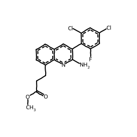 COC(=O)CCc1cccc2cc(-c3c(F)cc(Cl)cc3Cl)c(N)nc12